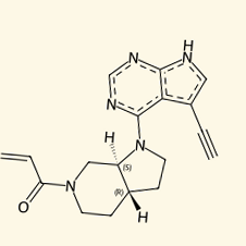 C#Cc1c[nH]c2ncnc(N3CC[C@@H]4CCN(C(=O)C=C)C[C@H]43)c12